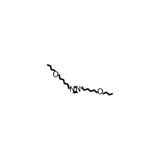 CCCCOCCCCCCn1cc[n+](CCCCCCOCCCC)c1